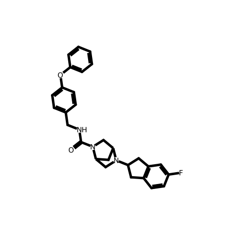 O=C(NCc1ccc(Oc2ccccc2)cc1)N1CC2CC1CN2C1Cc2ccc(F)cc2C1